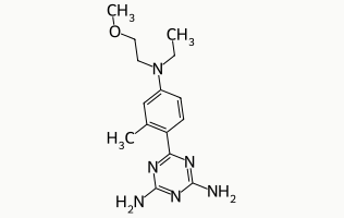 CCN(CCOC)c1ccc(-c2nc(N)nc(N)n2)c(C)c1